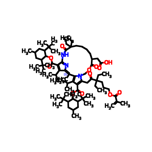 C=C(C)C(=O)OCCCC(CC)(CC)C(=O)Cc1c(C(=O)OC2C(C(C)(C)C)CC(C)CC2C(C)(C)C)c(C(C)C)c2n1COC(=O)C(CC(=O)O)CCCCC(CC)(CC)C(=O)NC1=N/C(=C\2C)C(C(C)C)=C1C(=O)OC1C(C(C)(C)C)CC(C)CC1C(C)(C)C